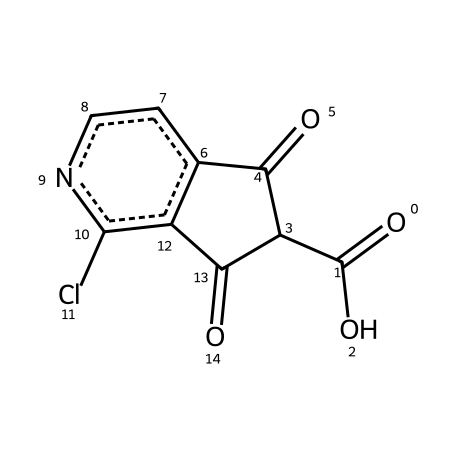 O=C(O)C1C(=O)c2ccnc(Cl)c2C1=O